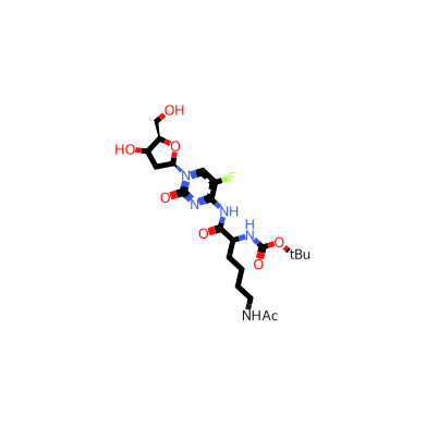 CC(=O)NCCCCC(NC(=O)OC(C)(C)C)C(=O)Nc1nc(=O)n([C@H]2CC(O)[C@@H](CO)O2)cc1F